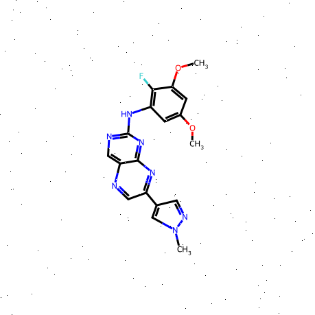 COc1cc(Nc2ncc3ncc(-c4cnn(C)c4)nc3n2)c(F)c(OC)c1